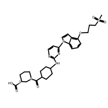 CS(=O)(=O)CCCOc1cccc2c1ccn2-c1ccnc(NC2CCC(C(=O)N3CCC[C@H](C(=O)O)C3)CC2)n1